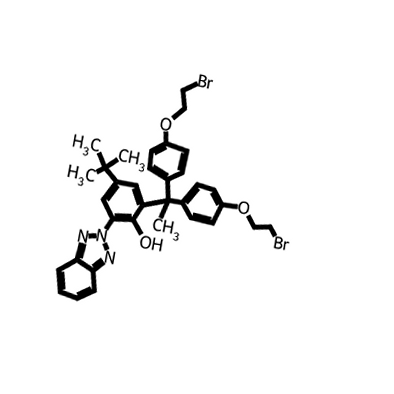 CC(C)(C)c1cc(-n2nc3ccccc3n2)c(O)c(C(C)(c2ccc(OCCBr)cc2)c2ccc(OCCBr)cc2)c1